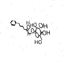 C[C@@H](CO[C@H]1OC(CO)[C@H](O)C(O)C1O)[C@H](O)CCCCc1ccccc1